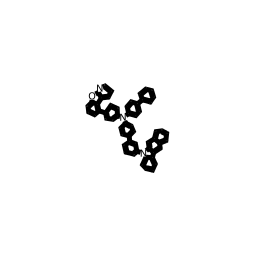 c1ccc(-c2ccc(N(c3ccc(-c4cccc(-n5c6ccccc6c6cc7ccccc7cc65)c4)cc3)c3ccc(-c4cccc5oc6ncccc6c45)cc3)cc2)cc1